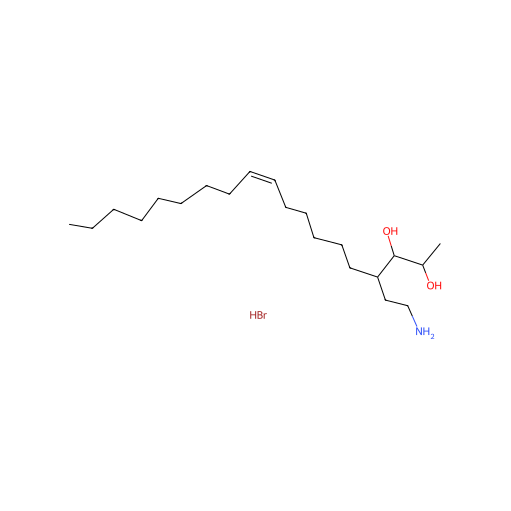 Br.CCCCCCCC/C=C\CCCCCC(CCN)C(O)C(C)O